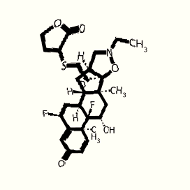 CCN1C[C@@H]2C[C@H]3[C@@H]4C[C@H](F)C5=CC(=O)C=C[C@]5(C)[C@@]4(F)[C@@H](O)C[C@]3(C)[C@]2(C(=O)CSC2CCOC2=O)O1